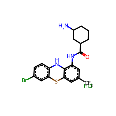 Cl.NC1CCCC(C(=O)Nc2cc(C(F)(F)F)cc3c2Nc2ccc(Br)cc2S3)C1